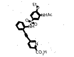 CCOc1ccc(S(=O)(=O)Nc2ccccc2C#Cc2ccc(C(=O)O)nc2)cc1NC(C)=O